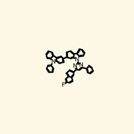 Fc1ccc2cc(-c3cc(-c4ccccc4)nc(-n4c5ccccc5c5ccc(-c6ccc7c(c6)c6ccccc6n7-c6ccccc6)cc54)n3)ccc2c1